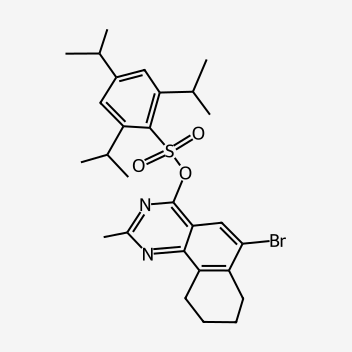 Cc1nc(OS(=O)(=O)c2c(C(C)C)cc(C(C)C)cc2C(C)C)c2cc(Br)c3c(c2n1)CCCC3